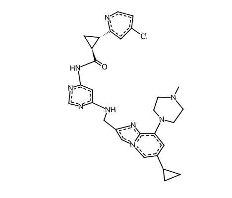 CN1CCN(c2cc(C3CC3)cn3cc(CNc4cc(NC(=O)[C@H]5C[C@@H]5c5cc(Cl)ccn5)ncn4)nc23)CC1